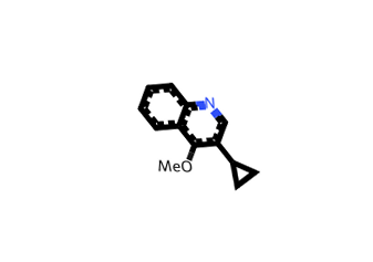 COc1c(C2CC2)cnc2ccccc12